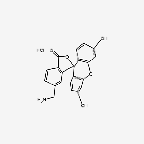 Cl.NCc1ccc2c(c1)C1(OC2=O)c2ccc(O)cc2Oc2cc(O)ccc21